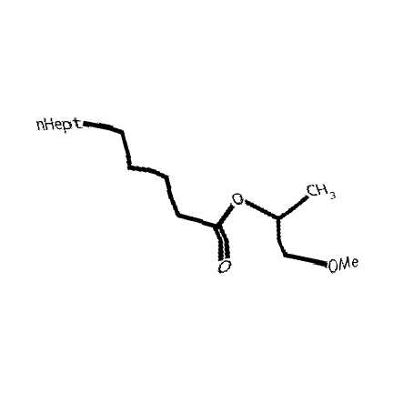 CCCCCCCCCCCC(=O)OC(C)COC